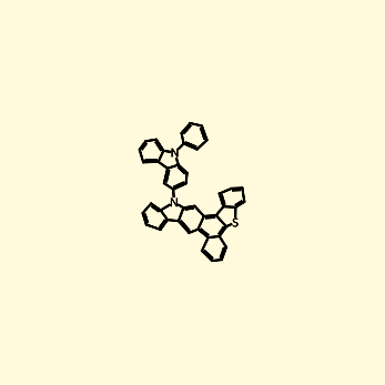 c1ccc(-n2c3ccccc3c3cc(-n4c5ccccc5c5cc6c7ccccc7c7sc8ccccc8c7c6cc54)ccc32)cc1